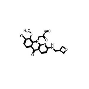 CSc1c(Cl)ccc2c(=O)c3ccc(NCC4COC4)nc3n(CC(=O)N=O)c12